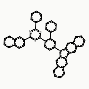 c1ccc(-c2nc(-c3ccc4ccccc4c3)nc(-c3ccc(-n4c5cc6ccccc6cc5c5cc6ccccc6cc54)cc3-c3ccccc3)n2)cc1